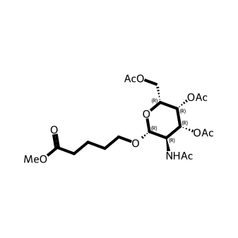 COC(=O)CCCCO[C@@H]1O[C@H](COC(C)=O)[C@H](OC(C)=O)[C@H](OC(C)=O)[C@H]1NC(C)=O